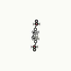 CCC(CNC(=O)NC1CCC(CCN2[C@@H]3CC[C@H]2c2ccccc23)CC1)NC(=O)NC1CCC(CCN2[C@@H]3CC[C@H]2c2ccccc23)CC1